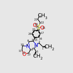 C=CCN(CC=C)C(CN1CCOCC1)c1ccc(S(=O)(=O)CCC)cc1